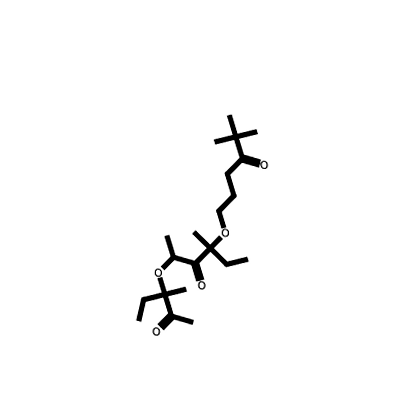 CCC(C)(OC(C)C(=O)C(C)(CC)OCCCC(=O)C(C)(C)C)C(C)=O